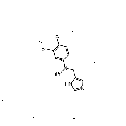 CC(C)N(Cc1cnc[nH]1)c1ccc(F)c(Br)c1